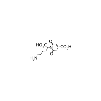 NCCCCC(C(=O)O)N1C(=O)C=C(C(=O)O)CC1=O